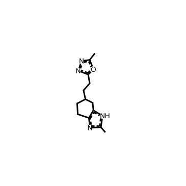 Cc1nc2c([nH]1)CC(CCc1nnc(C)o1)CC2